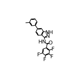 Cc1cccc(-c2ccc3c(NC(=O)c4cc(F)c(F)c(F)c4F)n[nH]c3c2)c1